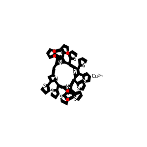 C1=C(c2cccs2)c2nc1cc1c(-c3cccs3)c(-c3cccs3)c(c(-c3cccs3)c3nc(c(-c4cccs4)c4c(-c5cccs5)c(-c5cccs5)c(c2-c2cccs2)n4-c2cccs2)C(c2cccs2)=C3c2cccs2)n1-c1cccs1.[Cu+2]